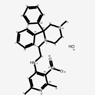 Cc1cc(NCCN2CCN(C)CC2(c2ccccc2)c2ccccc2)c([N+](=O)[O-])c(C)n1.Cl